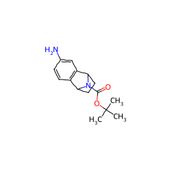 CC(C)(C)OC(=O)N1C2CCC1c1cc(N)ccc12